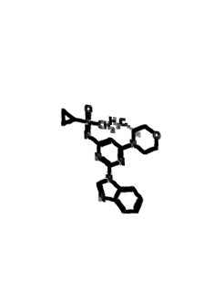 C[C@@H]1COCCN1c1cc(N=S(C)(=O)C2CC2)nc(-n2cnc3ccccc32)n1